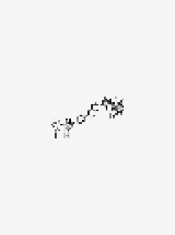 CC12CC(c3nc(-c4ccc(-c5ccc6cc(-c7c[nH]c([C@@H]8C[C@]9(C)C[C@@H]9N8)n7)ccc6c5)cc4)c[nH]3)NC1C2